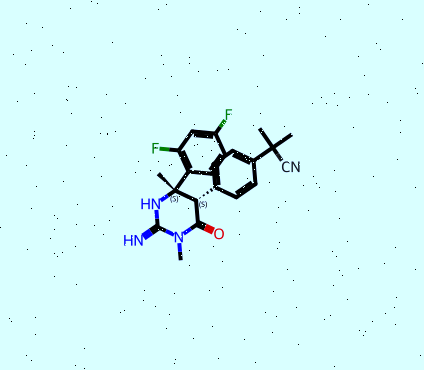 CN1C(=N)N[C@](C)(c2ccc(F)cc2F)[C@H](c2ccc(C(C)(C)C#N)cc2)C1=O